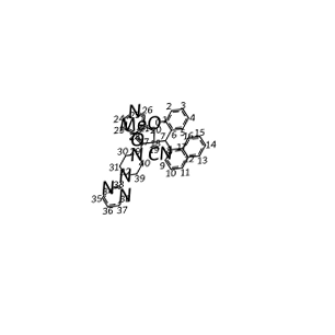 COc1ccccc1C(c1cccc2ccccc12)[C@](C#N)(Cc1cccnc1)C(=O)N1CCN(c2ncccn2)CC1